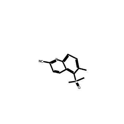 Cc1ccc2nc(C#N)ccc2c1P(C)(C)=O